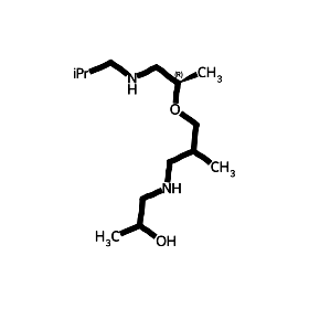 CC(C)CNC[C@@H](C)OCC(C)CNCC(C)O